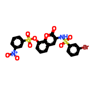 O=c1oc2c(OS(=O)(=O)c3cccc([N+](=O)[O-])c3)cccc2cc1NS(=O)(=O)c1cccc(Br)c1